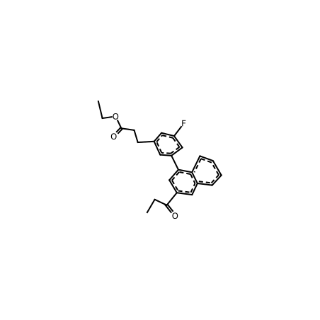 CCOC(=O)CCc1cc(F)cc(-c2cc(C(=O)CC)cc3ccccc23)c1